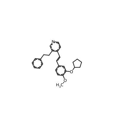 COc1ccc(C=Cc2ccncc2CCc2ccccc2)cc1OC1CCCC1